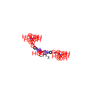 CP(=O)(O)OC(CO/N=C/c1ccc(OCCOP(=O)(O)CN(CP(=O)(O)O)CP(=O)(O)O)cc1)CO/N=C/c1ccc(OCCOP(=O)(O)CN(CP(=O)(O)O)CP(=O)(O)O)cc1